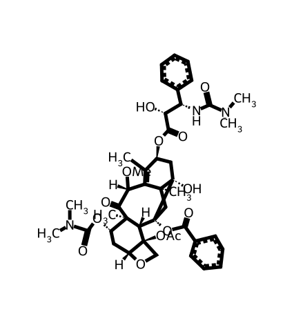 CO[C@H]1C(=O)[C@]2(C)[C@@H](OC(=O)N(C)C)C[C@H]3OC[C@@]3(OC(C)=O)[C@H]2[C@]2(OC(=O)c3ccccc3)C[C@@]3(C)C1=C(C)[C@@H](OC(=O)[C@H](O)[C@@H](NC(=O)N(C)C)c1ccccc1)C[C@]32O